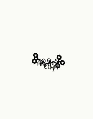 O=C(CC[C@H](NC(=O)OCC1c2ccccc2-c2ccccc21)C(=O)O)NCCSC(c1ccccc1)(c1ccccc1)c1ccccc1